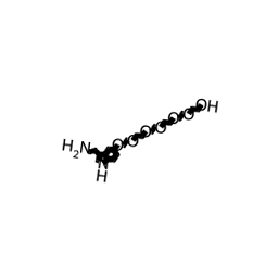 NCCc1c[nH]c2ccc(OCCOCCOCCOCCOCCOCCO)cc12